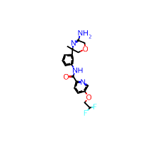 CC1(c2cccc(NC(=O)c3ccc(OCC(F)F)cn3)c2)COCC(N)=N1